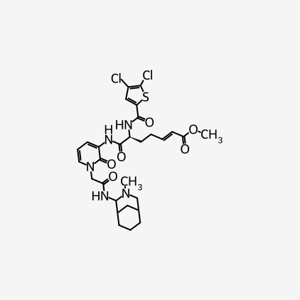 COC(=O)/C=C/CC[C@H](NC(=O)c1cc(Cl)c(Cl)s1)C(=O)Nc1cccn(CC(=O)NC2C3CCCC(C3)CN2C)c1=O